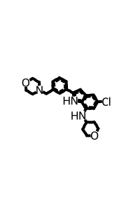 Clc1cc(NC2CCOCC2)c2[nH]c(-c3cccc(CN4CCOCC4)c3)cc2c1